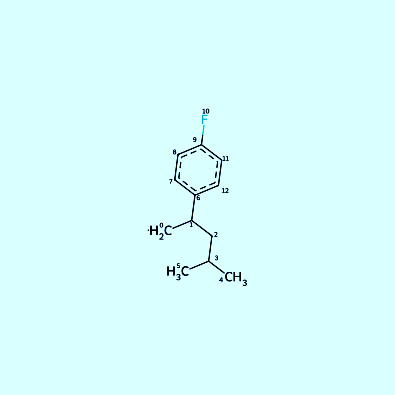 [CH2]C(CC(C)C)c1ccc(F)cc1